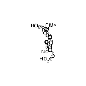 COc1nc(CN2CCc3c(-c4cccc(-c5nc6cc(CN7CC[C@@H](C(=O)O)C7)cc(C#N)c6o5)c4Cl)cccc32)c(C(F)(F)F)nc1CN1CC[C@@H](O)C1